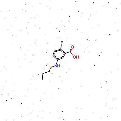 CCCSNc1ccc(F)c(C(=O)O)c1